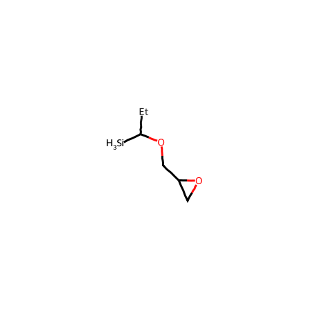 [CH2]CC([SiH3])OCC1CO1